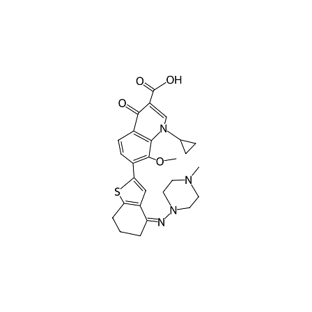 COc1c(-c2cc3c(s2)CCC/C3=N/N2CCN(C)CC2)ccc2c(=O)c(C(=O)O)cn(C3CC3)c12